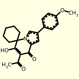 COc1ccc(-c2cc3n(c2)C2(CCCCC2)C(O)=C(C(C)=O)C3=O)cc1